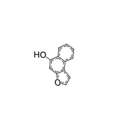 Oc1cc2occc2c2ccccc12